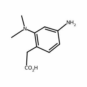 CN(C)c1cc(N)ccc1CC(=O)O